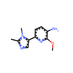 COc1nc(-c2cnc(C)n2C)ccc1N